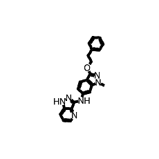 Cn1nc(OCCc2ccccc2)c2ccc(Nc3n[nH]c4cccnc34)cc21